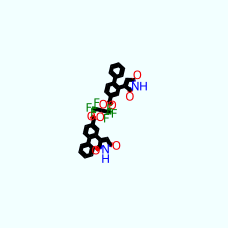 O=C1C=C(c2cc(C(=O)OC(OC(=O)c3ccc(-c4ccccc4)c(C4=CC(=O)NC4=O)c3)(C(F)(F)F)C(F)(F)F)ccc2-c2ccccc2)C(=O)N1